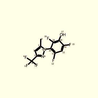 Cc1cc(C(F)(F)F)nn1-c1c(F)cc(F)c(O)c1F